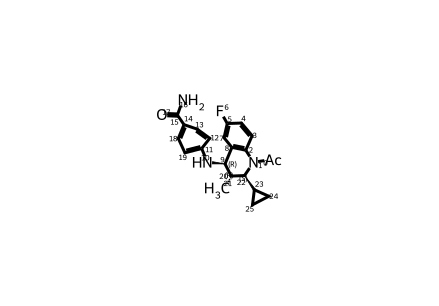 CC(=O)N1c2ccc(F)cc2[C@H](Nc2ccc(C(N)=O)cc2)[C@@H](C)[C@@H]1C1CC1